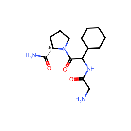 NCC(=O)NC(C(=O)N1CCC[C@H]1C(N)=O)C1CCCCC1